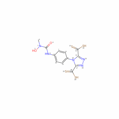 CN(O)C(=O)Nc1ccc(-n2c(C(=S)S)nnc2C(=S)S)cc1